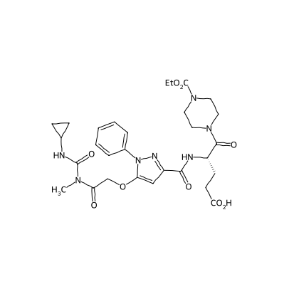 CCOC(=O)N1CCN(C(=O)[C@H](CCC(=O)O)NC(=O)c2cc(OCC(=O)N(C)C(=O)NC3CC3)n(-c3ccccc3)n2)CC1